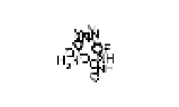 COc1cc2ncc3nnc(-c4ccc(NC(=O)NC5CCCC5)c(F)c4)n3c2cc1C(N)=O